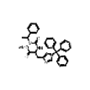 COC(=O)C(Cc1cn(C(c2ccccc2)(c2ccccc2)c2ccccc2)cn1)NC(=O)OC(C)c1ccccc1